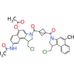 CC(=O)Nc1ccc2c(OC(C)=O)cc3c(c2c1)C(CCl)CN3C(=O)C12CC(C(=O)N3CC(CCl)c4c3cc(C)c3ccccc43)(C1)C2